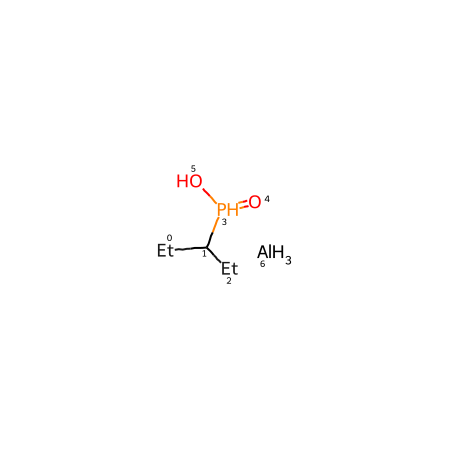 CCC(CC)[PH](=O)O.[AlH3]